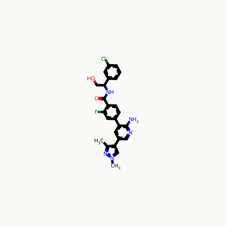 Cc1nn(C)cc1-c1cnc(N)c(-c2ccc(C(=O)NC(CO)c3cccc(Cl)c3)c(F)c2)c1